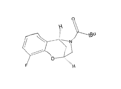 CC(C)(C)C(=O)N1C[C@@H]2C[C@H]1c1cccc(F)c1O2